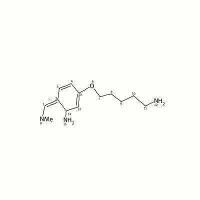 CN/C=C1/C=CC(OCCCCCN)=CC1N